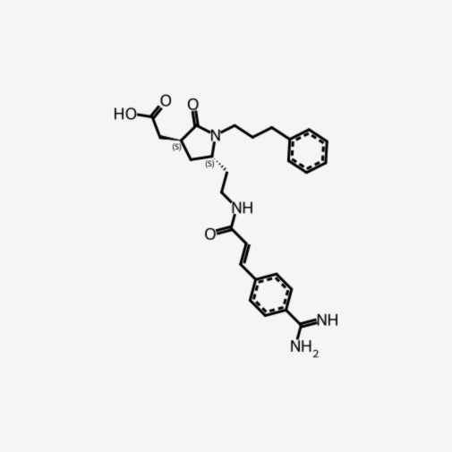 N=C(N)c1ccc(C=CC(=O)NCC[C@@H]2C[C@@H](CC(=O)O)C(=O)N2CCCc2ccccc2)cc1